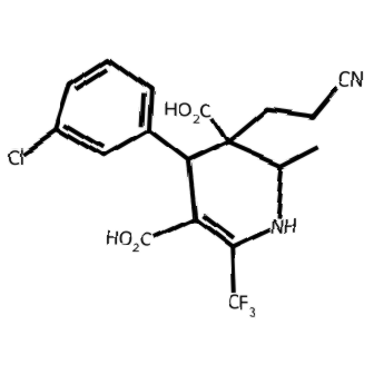 CC1NC(C(F)(F)F)=C(C(=O)O)C(c2cccc(Cl)c2)C1(CCC#N)C(=O)O